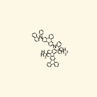 CC1(C)c2cc3c(cc2-c2cc4c5ccccc5c5ccccc5c4cc21)C(C)(C)c1ccccc1N3c1ccc2c3ccc(N(c4ccccc4)c4cccc5ccccc45)cc3c3ccccc3c2c1